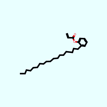 C=CC(=O)Oc1ccccc1CCCCCCCCCCCCCCCCCC